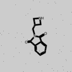 O=C1c2ccccc2C(=O)N1CC1CNC1